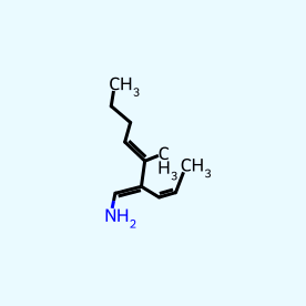 C\C=C/C(=C\N)C(/C)=C/CCC